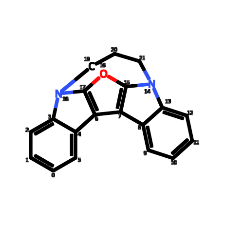 c1ccc2c(c1)c1c3c4ccccc4n4c3oc1n2CCC4